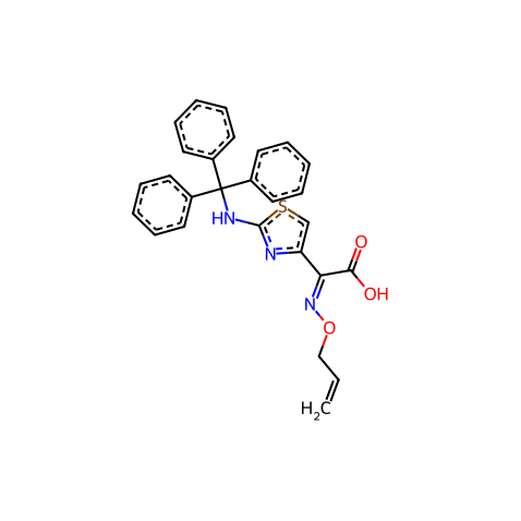 C=CCON=C(C(=O)O)c1csc(NC(c2ccccc2)(c2ccccc2)c2ccccc2)n1